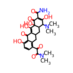 CN(C)C(=O)C(=O)c1ccc(O)c2c1CC1CC3C(N(C)C)C(O)=C(C(N)=O)C(=O)C3(O)C(O)=C1C2=O